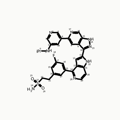 CC(C)Nc1cncc(-c2cc3c(-c4cc5c(-c6cc(F)cc(CCS(N)(=O)=O)c6)nccc5[nH]4)n[nH]c3cn2)c1